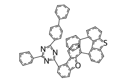 c1ccc(-c2ccc(-c3nc(-c4ccccc4)nc(-c4cccc5oc6c(-c7cccc8sc9cccc(-c%10ccccc%10)c9c78)cccc6c45)n3)cc2)cc1